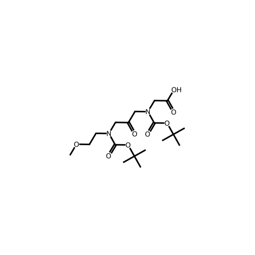 COCCN(CC(=O)CN(CC(=O)O)C(=O)OC(C)(C)C)C(=O)OC(C)(C)C